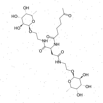 CC(=O)CCCCC(=O)N[C@@H](CC(=O)NCCO[C@@H]1O[C@@H](C)[C@@H](O)[C@@H](O)[C@@H]1O)C(=O)NCCO[C@@H]1O[C@@H](C)[C@@H](O)[C@@H](O)[C@@H]1O